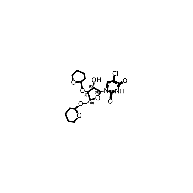 O=c1[nH]c(=O)n([C@@H]2O[C@H](COC3CCCCO3)[C@@H](OC3CCCCO3)[C@H]2O)cc1Cl